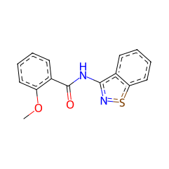 COc1ccccc1C(=O)Nc1nsc2ccccc12